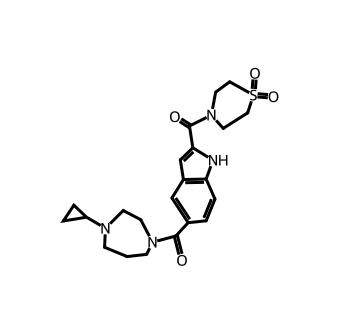 O=C(c1ccc2[nH]c(C(=O)N3CCS(=O)(=O)CC3)cc2c1)N1CCCN(C2CC2)CC1